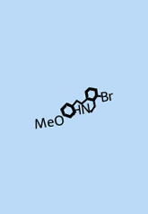 COc1ccc(CC2NCCc3c(Br)cccc32)cc1